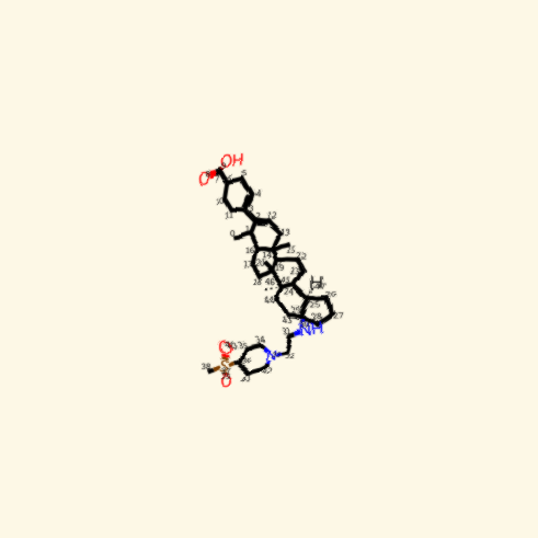 CC1C(C2=CCC(C(=O)O)CC2)=CCC2(C)C1CCC1(C)C2CCC2[C@H]3CCCC3(NCCN3CCC(S(C)(=O)=O)CC3)CC[C@]21C